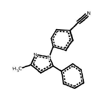 Cc1cc(-c2ccccc2)n(-c2ccc(C#N)cc2)n1